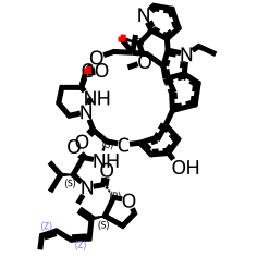 C=C(/C=C\C=C/C)[C@@H]1CCO[C@H]1C(=O)N(C)[C@H](C(=O)N[C@H]1Cc2cc(O)cc(c2)-c2ccc3c(c2)c(c(-c2cccnc2[C@H](C)OC)n3CC)CC(C)(C)COCC2(C=O)CCCN(N2)C1=O)C(C)C